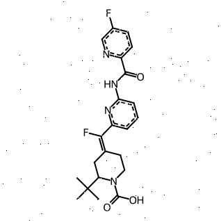 CC(C)(C)C1CC(=C(F)c2cccc(NC(=O)c3ccc(F)cn3)n2)CCN1C(=O)O